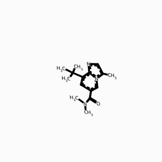 Cc1cnc2c(C(C)(C)C)cc(C(=O)N(C)C)cn12